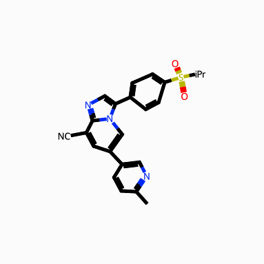 Cc1ccc(-c2cc(C#N)c3ncc(-c4ccc(S(=O)(=O)C(C)C)cc4)n3c2)cn1